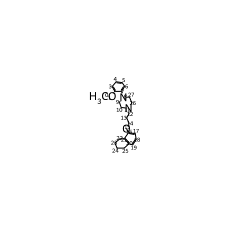 COc1ccccc1N1CCN(CCCOc2cccc3c2CCCC3)CC1